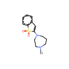 CCN1CCCN(C2=Cc3ccccc3S2(=O)=O)CC1